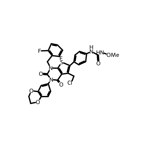 CONC(=O)Nc1ccc(-c2sc3c(c2CCl)c(=O)n(-c2ccc4c(c2)OCCO4)c(=O)n3Cc2c(F)cccc2F)cc1